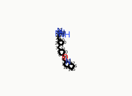 c1cc(Cc2ccc(OCc3ccc4ccccc4n3)cc2)cc(Cc2nnn[nH]2)c1